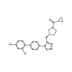 O=C(C1CC1)N1CC[C@@H](Cn2nncc2-c2ccc(-c3ccc(Cl)cc3Cl)cc2)C1